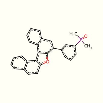 CP(C)(=O)c1cccc(-c2cc3ccccc3c3c2oc2ccc4ccccc4c23)c1